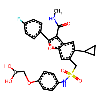 CNC(=O)c1c(-c2ccc(F)cc2)oc2cc(CS(=O)(=O)Nc3ccc(OCB(O)O)cc3)c(C3CC3)cc12